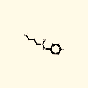 [O-][S+](CCCCl)Nc1ccccc1